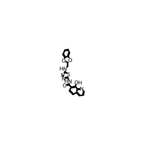 O=C(Nc1nnc(NCC2Oc3ccccc3O2)s1)c1ccc2cccnc2c1O